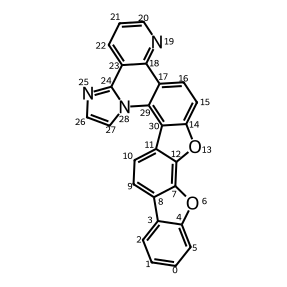 c1ccc2c(c1)oc1c2ccc2c1oc1ccc3c4ncccc4c4nccn4c3c12